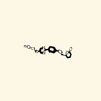 CCCCCCCCOc1cnc(-c2ccc(OC[C@@H]3CCCC(=O)O3)cc2)nc1